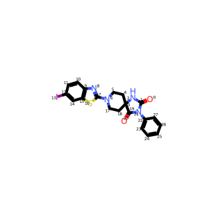 O=C1NC2(CCN(c3nc4ccc(I)cc4s3)CC2)C(=O)N1c1ccccc1